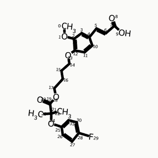 COc1cc(/C=C/C(=O)O)ccc1OCCCCOC(=O)C(C)(C)Oc1ccc(F)cc1